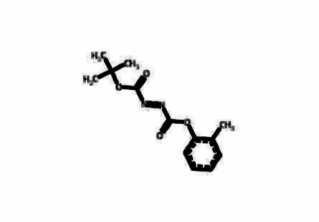 Cc1ccccc1OC(=O)N=NC(=O)OC(C)(C)C